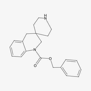 O=C(OCc1ccccc1)N1CC2(CCNCC2)Cc2ccccc21